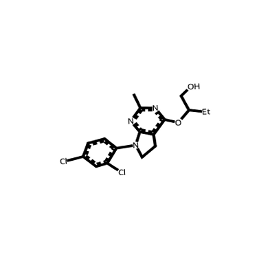 CCC(CO)Oc1nc(C)nc2c1CCN2c1ccc(Cl)cc1Cl